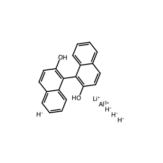 Oc1ccc2ccccc2c1-c1c(O)ccc2ccccc12.[Al+3].[H-].[H-].[H-].[H-].[Li+]